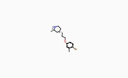 Cc1cc(OCCC[C@H]2CCN[C@H](C)C2)ccc1Br